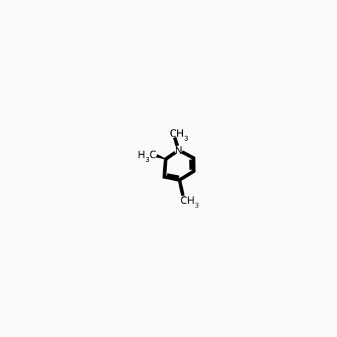 CC1=C[C@@H](C)N(C)C=C1